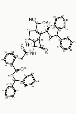 CC(=O)OC(C#N)C1=C(C(=O)OC(c2ccccc2)c2ccccc2)N2C(=O)[C@H](NC(=O)Cc3ccccc3C(=O)OC(c3ccccc3)c3ccccc3)[C@H]2SC1